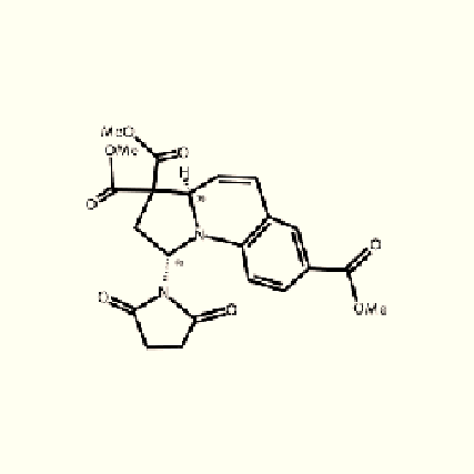 COC(=O)c1ccc2c(c1)C=C[C@H]1N2[C@H](N2C(=O)CCC2=O)CC1(C(=O)OC)C(=O)OC